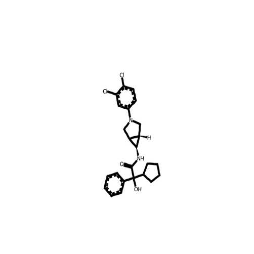 O=C(N[C@H]1C2CN(c3ccc(Cl)c(Cl)c3)C[C@@H]21)C(O)(c1ccccc1)C1CCCC1